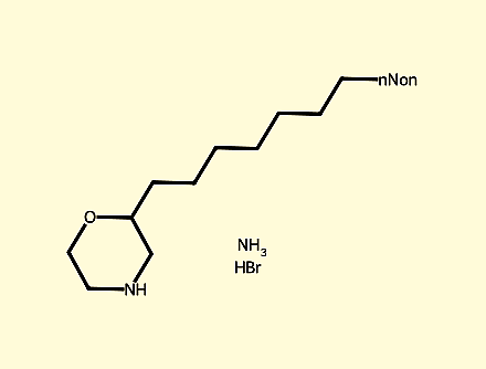 Br.CCCCCCCCCCCCCCCCC1CNCCO1.N